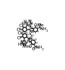 COc1c(C(N)=O)ccc2c1nc(-c1ccc(Cl)c(Cl)c1C(=N)/N=N\N)n2CCn1c(-c2ccc(Cl)c(Cl)c2-c2nn[nH]n2)nc2c(OC)c(C(N)=O)ccc21